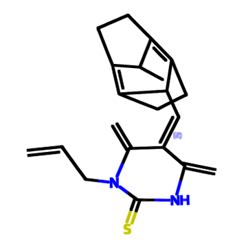 C=CCN1C(=C)/C(=C\C2C3=C4CCC(=C2CC3)C4C)C(=C)NC1=S